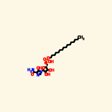 CCCCCCCCCCCCCCCCOP(=O)(O)OC[C@H]1O[C@@H](n2cnc(C(N)=O)c2O)[C@H](O)[C@@H]1O